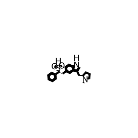 CN1CCC[C@@H]1Cc1c[nH]c2ccc(C[C@H](c3ccccc3)[SH](=O)=O)cc12